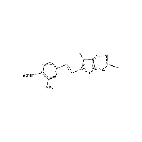 CC(=O)Nc1ccc(C=Cc2nc3cc(C)ccn3c2C)cc1[N+](=O)[O-]